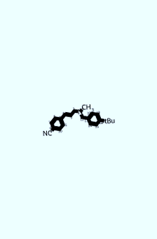 CN(CC=Cc1ccc(C#N)cc1)Cc1ccc(C(C)(C)C)cc1